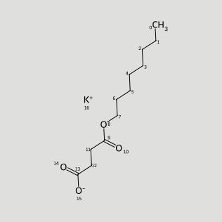 CCCCCCCCOC(=O)CCC(=O)[O-].[K+]